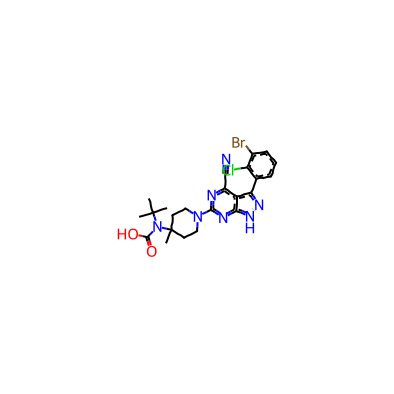 CC(C)(C)N(C(=O)O)C1(C)CCN(c2nc(C#N)c3c(-c4cccc(Br)c4Cl)n[nH]c3n2)CC1